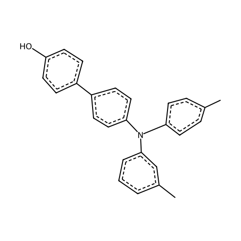 Cc1ccc(N(c2ccc(-c3ccc(O)cc3)cc2)c2cccc(C)c2)cc1